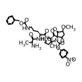 COC1CC(=O)C(C(=O)[C@H]2CCCN2C(=O)[C@H](CCCNC(=O)OCc2ccccc2)NC(=O)[C@H](C)N)(N(C(=O)Oc2ccc([N+](=O)[O-])cc2)C(C)C)C1=O